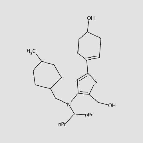 CCCC(CCC)N(CC1CCC(C)CC1)c1cc(C2=CCC(O)CC2)sc1CO